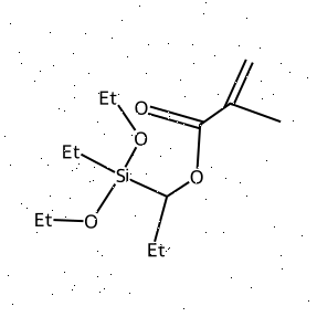 C=C(C)C(=O)OC(CC)[Si](CC)(OCC)OCC